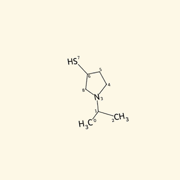 CC(C)N1CCC(S)C1